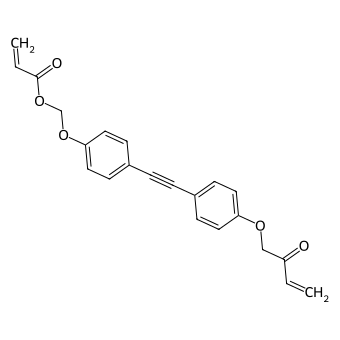 C=CC(=O)COc1ccc(C#Cc2ccc(OCOC(=O)C=C)cc2)cc1